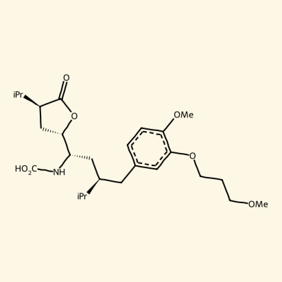 COCCCOc1cc(C[C@H](C[C@H](NC(=O)O)[C@@H]2C[C@@H](C(C)C)C(=O)O2)C(C)C)ccc1OC